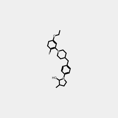 CCOC1=CC(N2CCC(Cc3ccc(N4CCC(C)C4O)cc3)CC2)=C(F)CC1